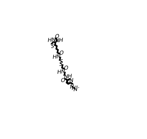 [N-]=[N+]=NCc1ccc(C(=O)NCCNC(=O)CCSSCCNC(=O)CCCCC2SCC3NC(=O)NC32)cn1